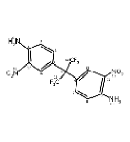 Nc1ccc(C(c2ccc(N)c([N+](=O)[O-])c2)(C(F)(F)F)C(F)(F)F)cc1[N+](=O)[O-]